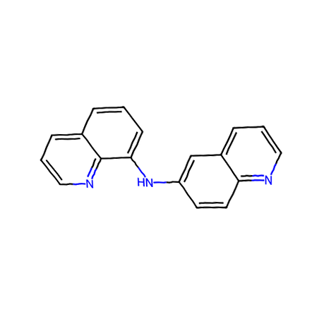 c1cnc2ccc(Nc3cccc4cccnc34)cc2c1